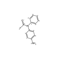 Nc1ccc(N(C(=O)F)c2ccccc2)cc1